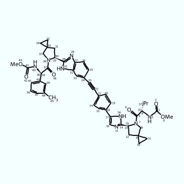 COC(=O)N[C@H](C(=O)N1CC2(CC2)C[C@H]1c1ncc(-c2ccc(C#Cc3ccc4nc([C@@H]5CC6(CC6)CN5C(=O)[C@H](NC(=O)OC)c5cccc(C)c5)[nH]c4c3)cc2)[nH]1)C(C)C